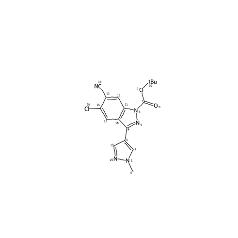 Cn1cc(-c2nn(C(=O)OC(C)(C)C)c3cc(C#N)c(Cl)cc23)cn1